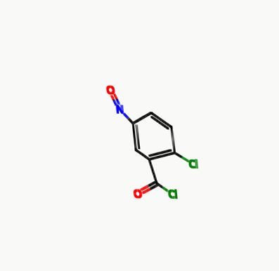 O=Nc1ccc(Cl)c(C(=O)Cl)c1